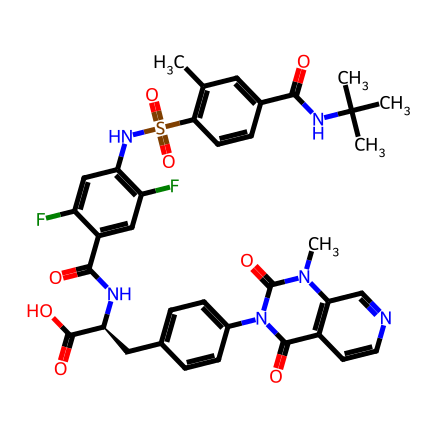 Cc1cc(C(=O)NC(C)(C)C)ccc1S(=O)(=O)Nc1cc(F)c(C(=O)N[C@@H](Cc2ccc(-n3c(=O)c4ccncc4n(C)c3=O)cc2)C(=O)O)cc1F